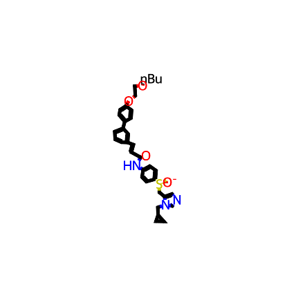 CCCCOCCOc1ccc(-c2cccc(/C=C/C(=O)Nc3ccc([S@@+]([O-])Cc4cncn4CC4CC4)cc3)c2)cc1